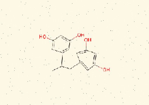 CC(Cc1cc(O)cc(O)c1)c1cc(O)cc(O)c1